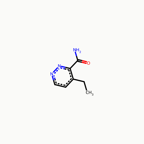 CCc1ccnnc1C(N)=O